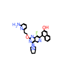 Nc1cccc(CCOc2nc(N3CC4CCC(C3)N4)c3cnc(-c4cc(O)cc5ccccc45)c(F)c3n2)n1